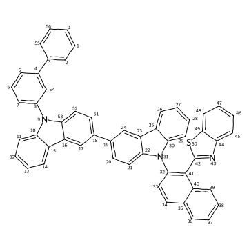 c1ccc(-c2cccc(-n3c4ccccc4c4cc(-c5ccc6c(c5)c5ccccc5n6-c5ccc6ccccc6c5-c5nc6ccccc6s5)ccc43)c2)cc1